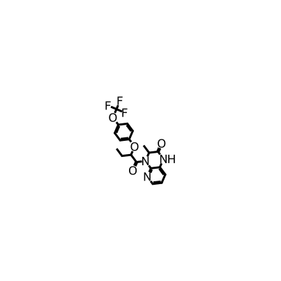 CCC(Oc1ccc(OC(F)(F)F)cc1)C(=O)N1c2ncccc2NC(=O)C1C